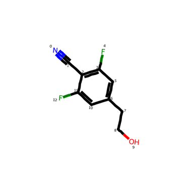 N#Cc1c(F)cc(CCO)cc1F